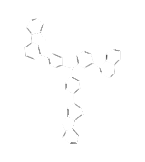 c1cc(-c2cccc3ccccc23)cc(N(c2ccc(-c3ccc4c(c3)sc3ccccc34)cc2)c2ccc(-c3cccc4c3oc3ccccc34)cc2)c1